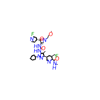 CNC(=O)c1ncc(-c2nn(-c3ccccc3)c(NC(=O)N[C@@H]3CN(CCOC)O[C@H]3c3ccnc(F)c3)c2C)cc1CF